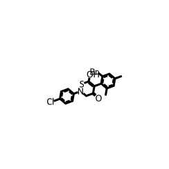 Cc1cc(C)c(C2=C(O)SN(c3ccc(Cl)cc3)CC2=O)c(Br)c1